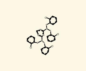 Clc1ccccc1SN(Sc1ccccc1Cl)c1ncnc(N(Sc2ccccc2Cl)Sc2ccccc2Cl)n1